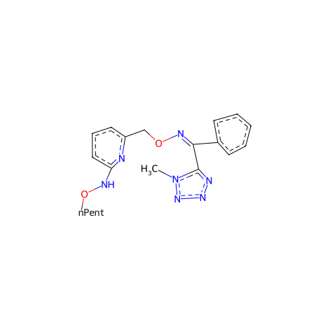 CCCCCONc1cccc(CON=C(c2ccccc2)c2nnnn2C)n1